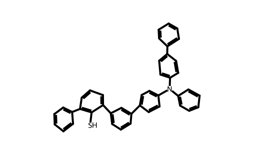 Sc1c(-c2ccccc2)cccc1-c1cccc(-c2ccc(N(c3ccccc3)c3ccc(-c4ccccc4)cc3)cc2)c1